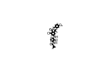 COc1ccc(CN2C(=O)c3c(Cl)cc(Nc4ncnc(NC(=O)C5CC5)c4Cl)cc3C2(C)C)cc1